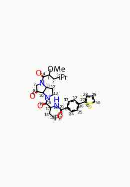 COC(CC(C)C)C(=O)N1CC(=O)C2C1CCN2C(=O)C(CC(C)C)NC(=O)c1ccc(-c2cccs2)cc1